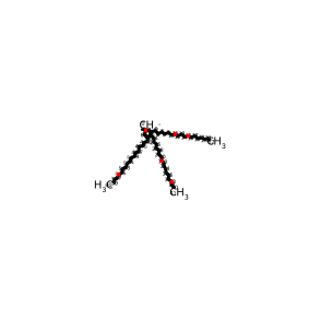 [CH2]Cc1cc(CCCCCCCCCCCCCCCCCC)c(CCCCCCCCCCCCCCCCCC)c(CCCCCCCCCCCCCCCCCC)c1